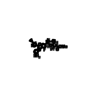 Bc1ccc2c(c1)cc1n2[C@H](c2cnc(C3CC3)s2)Oc2cc(-c3cnc([C@@H]4CCCN4C(=O)[C@@H](NC(=O)OC)C(C)C)[nH]3)cc(F)c2-1